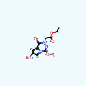 CCOC(=O)Cn1nc(OC)n2cc(Br)cc2c1=O